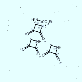 CCOC(N)=O.O=C1CNC1=O.O=C1CNC1=O.O=C1CNC1=O